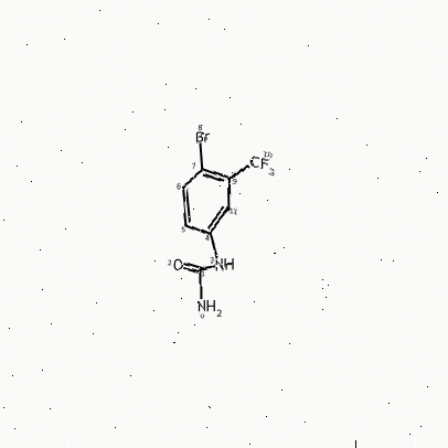 NC(=O)Nc1ccc(Br)c(C(F)(F)F)c1